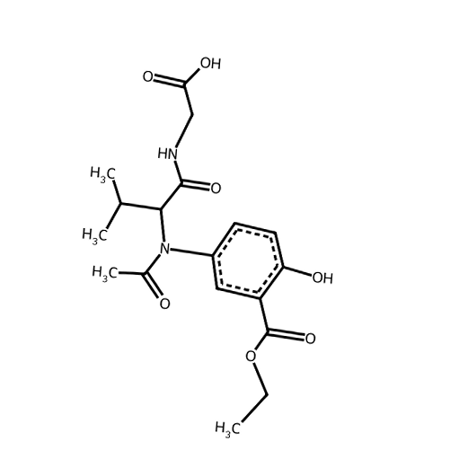 CCOC(=O)c1cc(N(C(C)=O)C(C(=O)NCC(=O)O)C(C)C)ccc1O